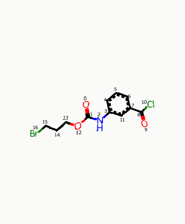 O=C(Nc1cccc(C(=O)Cl)c1)OCCCBr